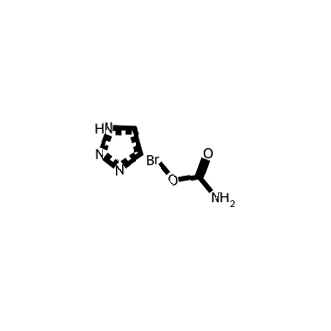 NC(=O)OBr.c1c[nH]nn1